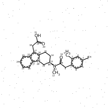 Cc1cc(F)ccc1CC(=O)N(C)[C@@H]1CCc2c(CC(=O)O)c3ccccc3n2C1